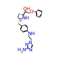 Nc1ncn(CCNc2ccc(C[C@@H]3CC[C@H]([C@H](O)COc4ccccc4)N3)cc2)n1